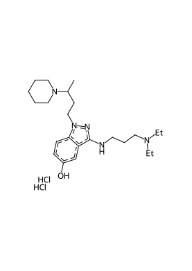 CCN(CC)CCCNc1nn(CCC(C)N2CCCCC2)c2ccc(O)cc12.Cl.Cl